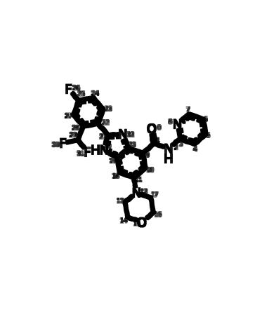 O=C(Nc1ccccn1)c1cc(N2CCOCC2)cc2[nH]c(-c3ccc(F)cc3C(F)F)nc12